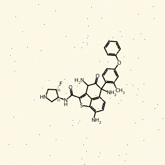 Cc1cc(Oc2ccccc2)ccc1C1(N)C(=O)C(N)c2c(C(=O)N[C@H]3CNC[C@@H]3F)sc3c(N)ccc1c23